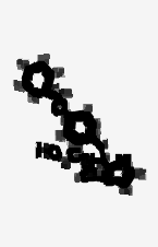 CC(C)(C)N(C(=O)O)[C@@H](Cc1ccc(OCc2ccccc2)cc1)c1nccs1